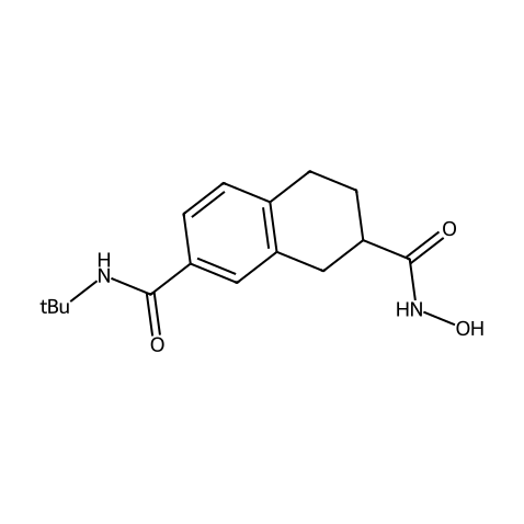 CC(C)(C)NC(=O)c1ccc2c(c1)CC(C(=O)NO)CC2